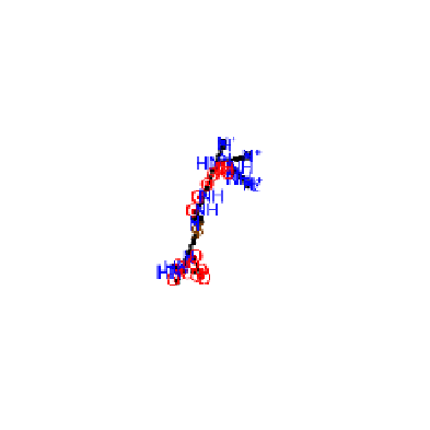 CC(=O)C[C@H](NC(C)=O)C(=O)NCCN(CCCCCCSSc1ccc(C(=O)NCCC(=O)NCCOCCOCC(=O)N[C@@H](CCCC[N+](C)(C)C)C(=O)N[C@@H](CCCC[N+](C)(C)C)C(=O)N[C@@H](CCCC[N+](C)(C)C)C(N)=O)cn1)C(=O)OCc1oc(=O)oc1C